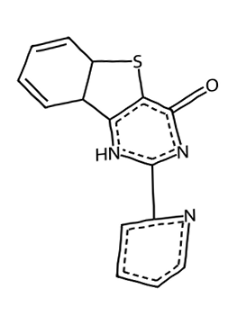 O=c1nc(-c2ccccn2)[nH]c2c1SC1C=CC=CC21